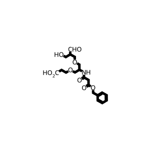 O=CC(CO)COCC(COCCC(=O)O)NC(=O)CC(=O)OCc1ccccc1